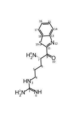 N=C(N)NCCC[C@H](N)C(=O)c1nc2ccccc2s1